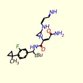 CC1(c2ccc(C(NC(=O)/C(=C/C(N)=O)N3CC3N/C=C\C=N)C(C)(C)C)cc2F)CC1